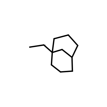 C[CH]C12CCCC(CCC1)C2